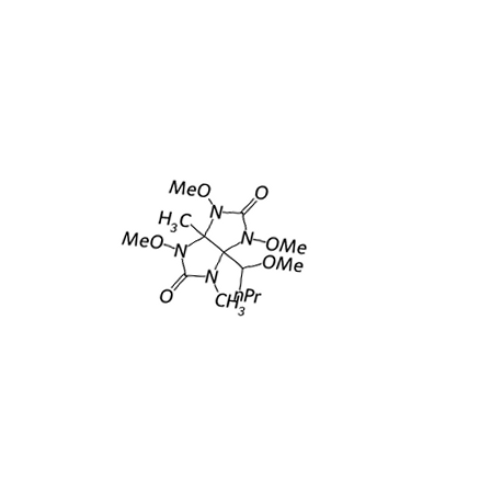 CCCC(OC)C12N(C)C(=O)N(OC)C1(C)N(OC)C(=O)N2OC